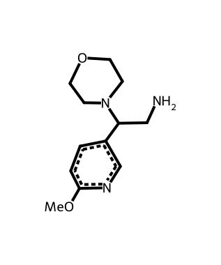 COc1ccc(C(CN)N2CCOCC2)cn1